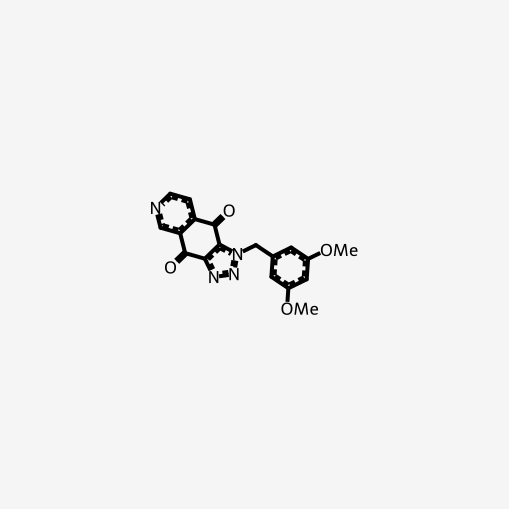 COc1cc(Cn2nnc3c2C(=O)c2ccncc2C3=O)cc(OC)c1